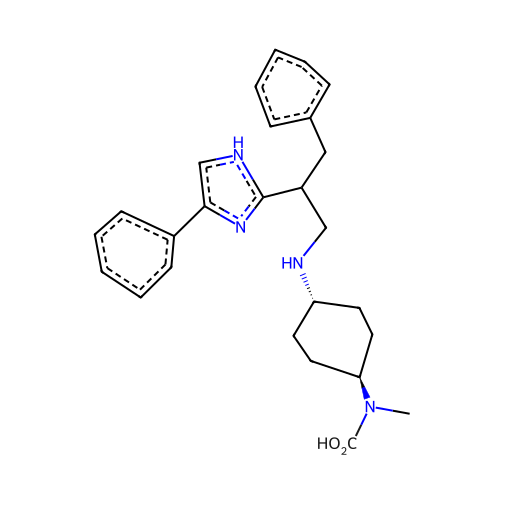 CN(C(=O)O)[C@H]1CC[C@H](NCC(Cc2ccccc2)c2nc(-c3ccccc3)c[nH]2)CC1